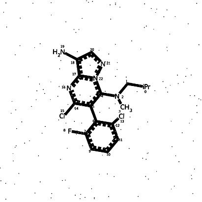 CC(C)CN(C)c1c(-c2c(F)cccc2Cl)c(Cl)nc2c(N)cnn12